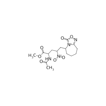 COC(=O)C(CC(CC1CCCCc2noc(=O)n21)[N+](=O)[O-])NC(C)=O